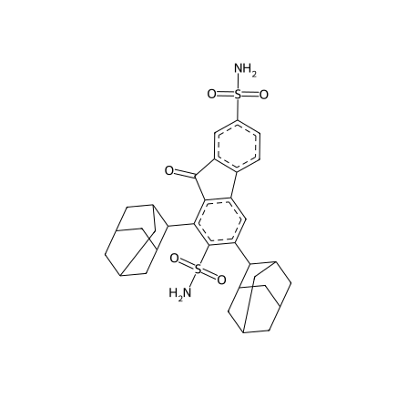 NS(=O)(=O)c1ccc2c(c1)C(=O)c1c-2cc(C2C3CC4CC(C3)CC2C4)c(S(N)(=O)=O)c1C1C2CC3CC(C2)CC1C3